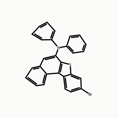 Brc1ccc2c(c1)sc1c(N(c3ccccc3)c3ccccc3)cc3ccccc3c12